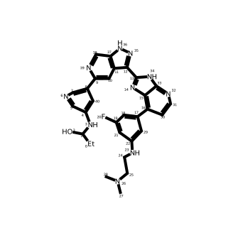 CCC(O)Nc1cncc(-c2cc3c(-c4nc5c(-c6cc(F)cc(NCCN(C)C)c6)ccnc5[nH]4)n[nH]c3cn2)c1